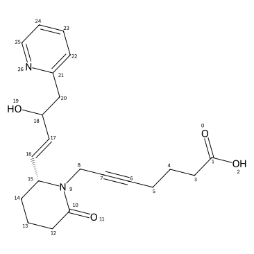 O=C(O)CCCC#CCN1C(=O)CCC[C@@H]1/C=C/C(O)Cc1ccccn1